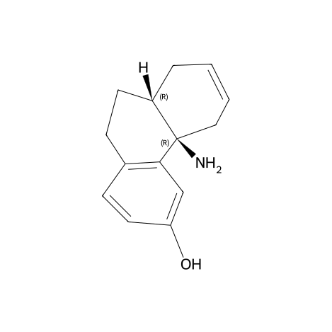 N[C@]12CC=CC[C@H]1CCc1ccc(O)cc12